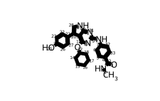 CNC(=O)c1ccc(Nc2nc(OC3CCCCC3)c3c(-c4ccc(O)cc4)c[nH]c3n2)cc1